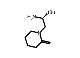 C=C1CCCCN1C[C@@H](N)C(C)(C)C